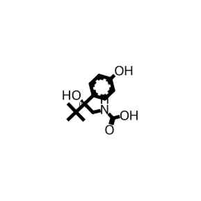 CC(C)(C)[C@@](O)(CNC(=O)O)c1ccc(O)cc1